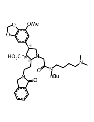 CCCCN(CCCCN(C)C)C(=O)CN1C[C@H](c2cc(OC)c3c(c2)OCO3)[C@@H](C(=O)O)[C@@H]1CCN1Cc2ccccc2C1=O